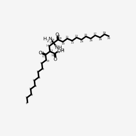 CCCCCCCCCCCC(=O)C(CC(N)(N)C(=O)CCCCCCCCCCC)C(=O)O